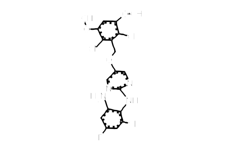 COc1cc(OC)c(Cl)c(COc2cnc(Nc3c(N)cc(F)cc3Cl)nc2)c1Cl